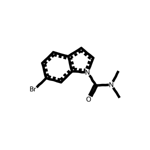 CN(C)C(=O)n1ccc2ccc(Br)cc21